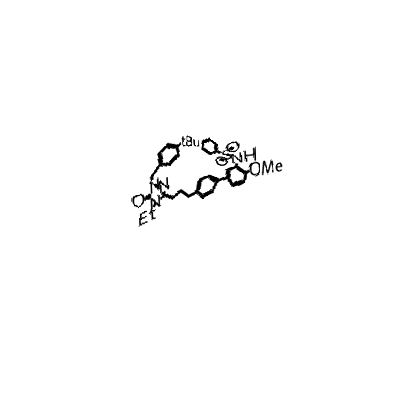 CCn1c(CCCc2ccc(-c3ccc(OC)c(NS(=O)(=O)c4ccccc4)c3)cc2)nn(Cc2ccc(C(C)(C)C)cc2)c1=O